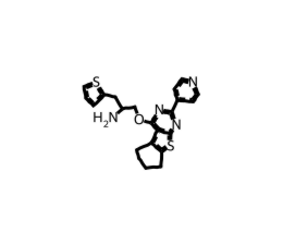 NC(COc1nc(-c2ccncc2)nc2sc3c(c12)CCCC3)Cc1cccs1